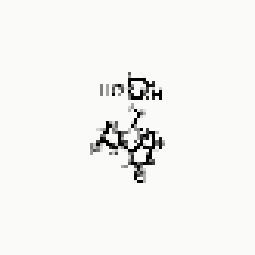 O[C@H]1CCCN[C@@H]1CCCn1cnc2cc(Cl)cc(-c3cncc(F)c3)c21